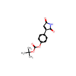 CC(C)(C)OC(=O)Oc1ccc(C2=CC(=O)NC2=O)cc1